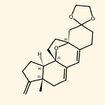 C=C1CC[C@@H]2[C@]1(C)CC=C1C=C3CCC4(C[C@]35CC[C@@]12O5)OCCO4